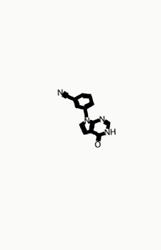 N#Cc1cccc(-n2ccc3c(=O)[nH]cnc32)c1